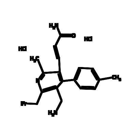 Cc1ccc(-c2c(C=CC(N)=O)c(C)nc(CC(C)C)c2CN)cc1.Cl.Cl